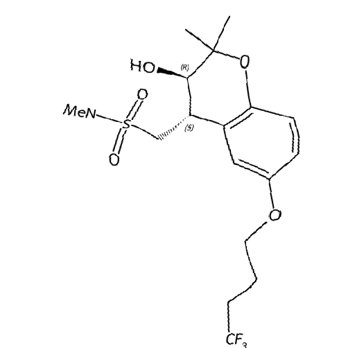 CNS(=O)(=O)C[C@H]1c2cc(OCCCC(F)(F)F)ccc2OC(C)(C)[C@@H]1O